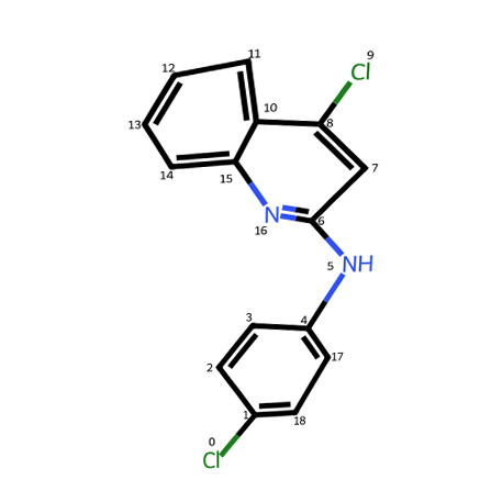 Clc1ccc(Nc2cc(Cl)c3ccccc3n2)cc1